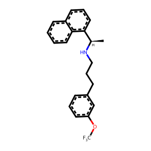 C[C@@H](NCCCc1cccc(OC(F)(F)F)c1)c1cccc2ccccc12